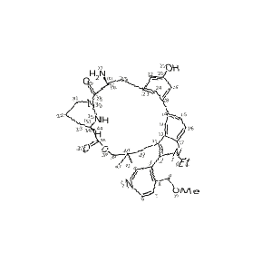 CCn1c(-c2cnccc2COC)c2c3cc(ccc31)-c1cc(O)cc(c1)C[C@H](N)C(=O)N1CCC[C@H](N1)C(=O)OCC(C)(C)C2